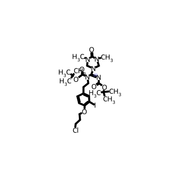 CN1CN(/C(=N/C(=O)OC(C)(C)C)N(CCc2ccc(OCCCCl)c(I)c2)C(=O)OC(C)(C)C)CN(C)C1=O